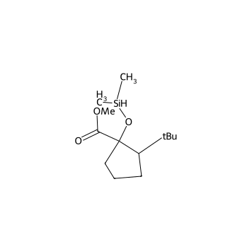 COC(=O)C1(O[SiH](C)C)CCCC1C(C)(C)C